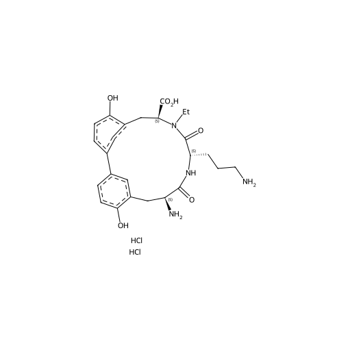 CCN1C(=O)[C@H](CCCN)NC(=O)[C@@H](N)Cc2cc(ccc2O)-c2ccc(O)c(c2)C[C@H]1C(=O)O.Cl.Cl